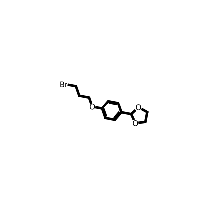 BrCCCOc1ccc(C2OCCO2)cc1